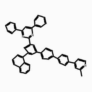 Cc1cc(-c2ccc(-c3ccc(-c4cc(-c5nc(-c6ccccc6)cc(-c6ccccc6)n5)cc(-c5cccc6ccccc56)c4)cc3)cc2)ccn1